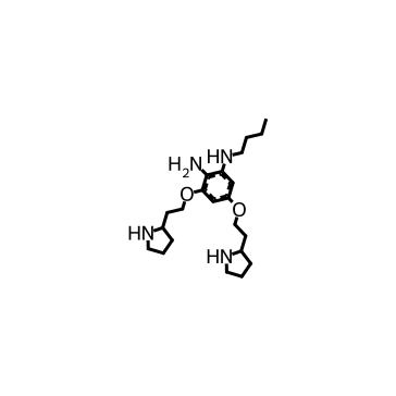 CCCCNc1cc(OCCC2CCCN2)cc(OCCC2CCCN2)c1N